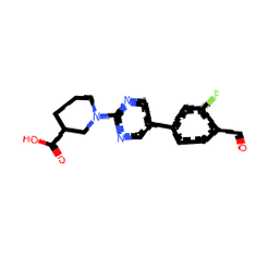 O=Cc1ccc(-c2cnc(N3CCCC(C(=O)O)C3)nc2)cc1F